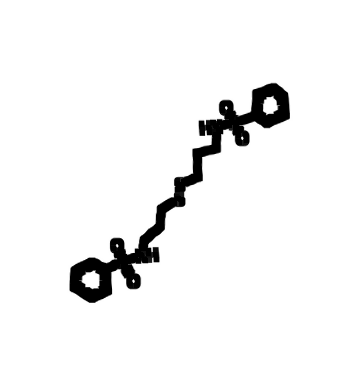 O=S(=O)(NCCCSSCCCNS(=O)(=O)c1ccccc1)c1ccccc1